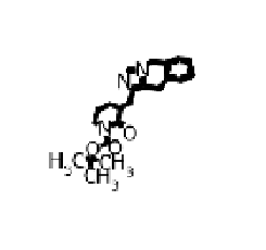 CC(C)(C)OC(=O)N1CCCC(Cc2ncn3c2Cc2ccccc2C3)C1=O